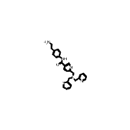 NCCc1ccc(NC(=O)c2ccc(CN(Cc3ccccn3)Cc3ccccn3)nc2)cc1